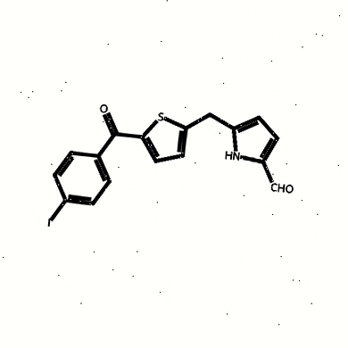 O=Cc1ccc(Cc2ccc(C(=O)c3ccc(I)cc3)s2)[nH]1